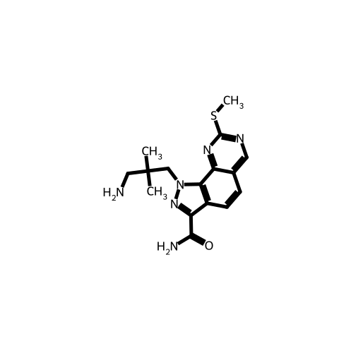 CSc1ncc2ccc3c(C(N)=O)nn(CC(C)(C)CN)c3c2n1